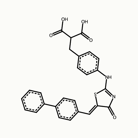 O=C1N=C(Nc2ccc(CC(C(=O)O)C(=O)O)cc2)SC1=Cc1ccc(-c2ccccc2)cc1